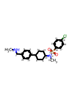 CNCc1ccc(C2CCC(N(C)S(=O)(=O)c3ccc(Cl)cc3)CC2)cc1